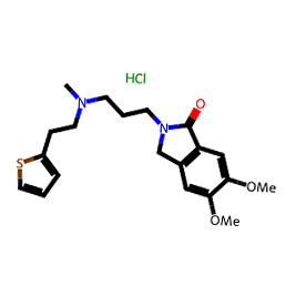 COc1cc2c(cc1OC)C(=O)N(CCCN(C)CCc1cccs1)C2.Cl